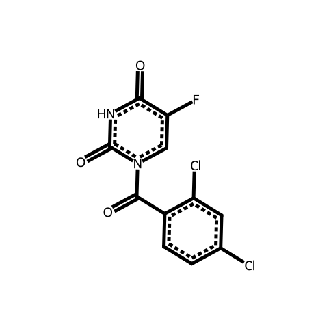 O=C(c1ccc(Cl)cc1Cl)n1cc(F)c(=O)[nH]c1=O